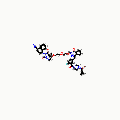 N#Cc1ccc(N2C(=O)[C@H]3C(OCCCOCCOCn4nc(Cc5ccc(F)c(C(=O)N6CCN(C(=O)C7CC7)CC6)c5)c5ccccc5c4=O)CCN3C2=O)c2ccccc12